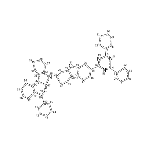 c1ccc(-c2nc(-c3ccccc3)nc(-c3ccc4c(c3)oc3cc(-n5c6ccccc6c6c7ccccc7c(-c7ccccc7)cc65)ccc34)n2)cc1